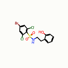 O=S(=O)(NCCc1ccccc1O)c1c(Cl)cc(Br)cc1Cl